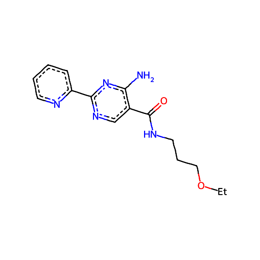 CCOCCCNC(=O)c1cnc(-c2ccccn2)nc1N